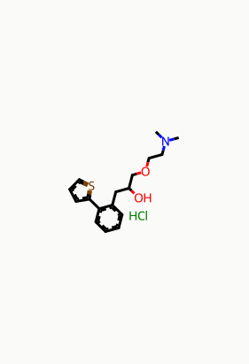 CN(C)CCOCC(O)Cc1ccccc1-c1cccs1.Cl